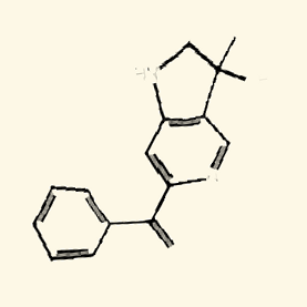 CC1(C)CNc2cc(C(=O)c3ccccc3)ncc21